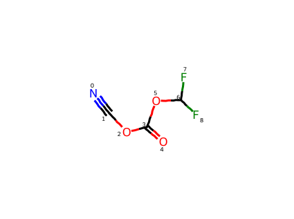 N#COC(=O)OC(F)F